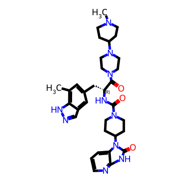 Cc1cc(C[C@@H](NC(=O)N2CCC(n3c(=O)[nH]c4ncccc43)CC2)C(=O)N2CCN(C3CCN(C)CC3)CC2)cc2cn[nH]c12